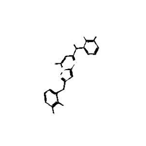 Oc1cc(C(S)c2cccc(F)c2F)nc2cc(Cc3cccc(Cl)c3Cl)nn12